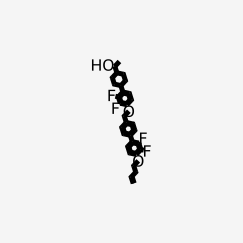 C=CCCOc1ccc(-c2ccc(COc3ccc(C4CCC(C(C)O)CC4)c(F)c3F)cc2)c(F)c1F